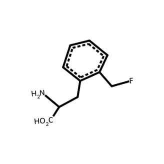 NC(Cc1ccccc1CF)C(=O)O